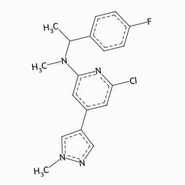 CC(c1ccc(F)cc1)N(C)c1cc(-c2cnn(C)c2)cc(Cl)n1